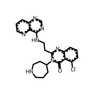 O=c1c2c(Cl)cccc2nc(CCNc2ncnc3cccnc23)n1C1CCCNCC1